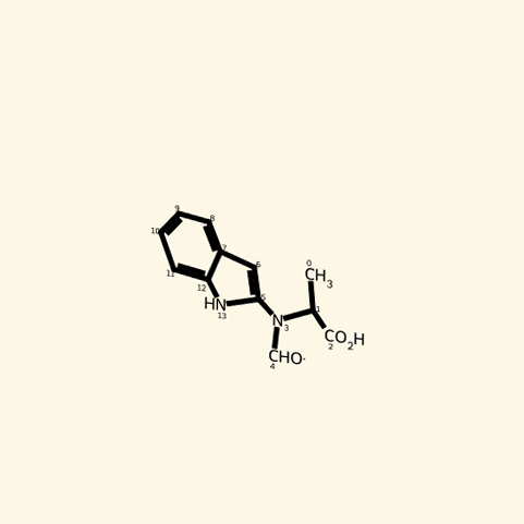 CC(C(=O)O)N([C]=O)c1cc2ccccc2[nH]1